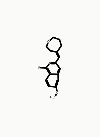 COc1ccc2c(F)nc(/C=C3/CCCOCC3)cc2c1